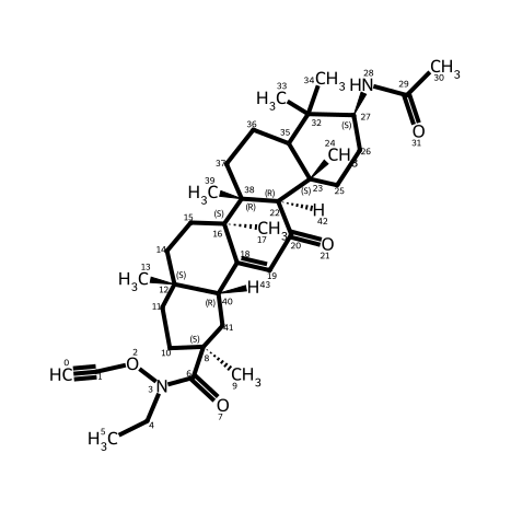 C#CON(CC)C(=O)[C@@]1(C)CC[C@]2(C)CC[C@]3(C)C(=CC(=O)[C@@H]4[C@@]5(C)CC[C@H](NC(C)=O)C(C)(C)C5CC[C@]43C)[C@@H]2C1